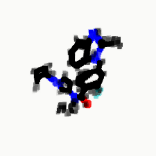 Cc1nc2ccccc2n1Cc1ccc(C(=O)N(C)[C@@H]2CCN(C3CCC3)C2)c(F)c1